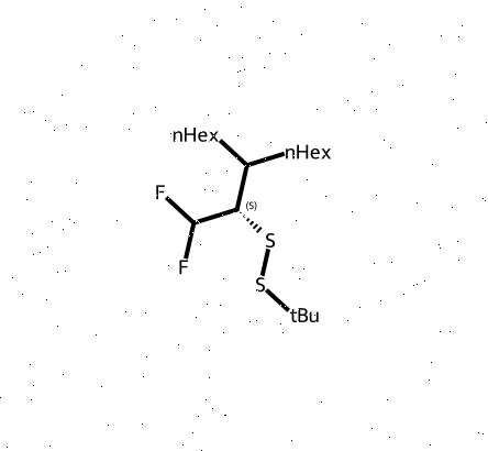 CCCCCCC(CCCCCC)[C@H](SSC(C)(C)C)C(F)F